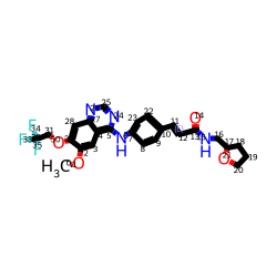 COc1cc2c(Nc3ccc(/C=C/C(=O)NCC4CCCO4)cc3)ncnc2cc1OCC(F)(F)F